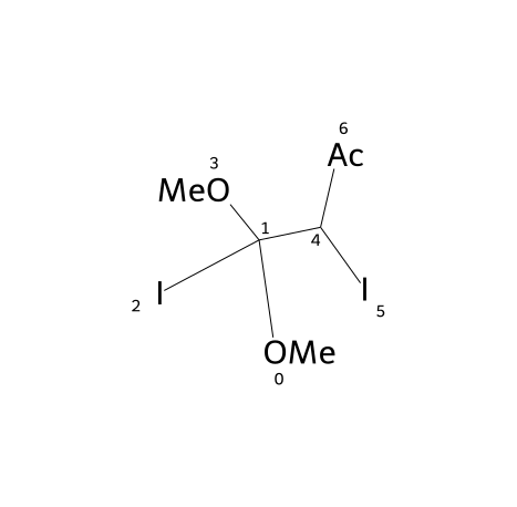 COC(I)(OC)C(I)C(C)=O